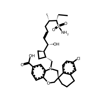 CC[C@@H]([C@@H](C)C/C=C/[C@H](O)[C@@H]1CC[C@H]1CN1C[C@@]2(CCCc3cc(Cl)ccc32)COc2ccc(C(=O)O)cc21)S(N)(=O)=O